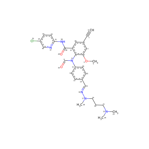 C#Cc1cc(OC)c(N(C=O)c2ccc(C=NN(C)CCCN(C)C)cc2)c(C(=O)Nc2ccc(Cl)cn2)c1